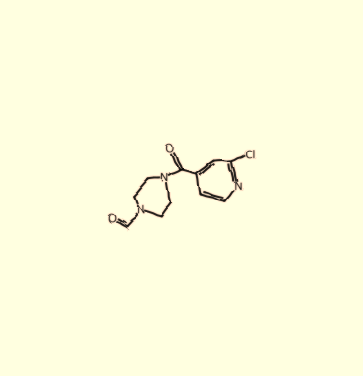 O=[C]N1CCN(C(=O)c2ccnc(Cl)c2)CC1